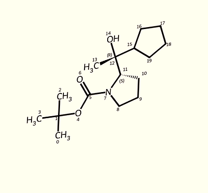 CC(C)(C)OC(=O)N1CCC[C@H]1[C@](C)(O)C1CCCC1